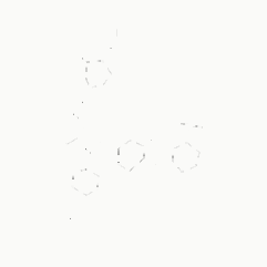 CC(C)(NC1CC(c2ccc(F)c(F)c2)N(c2ccc(OC(F)(F)F)cc2)C1=O)c1ccc(C(F)(F)F)nc1.Cc1ccc(S(=O)(=O)O)cc1